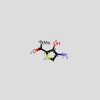 CNC(=O)c1scc(N)c1O